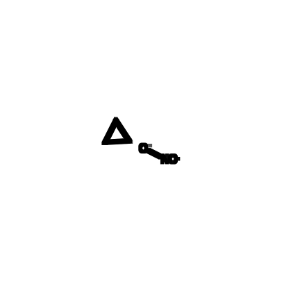 C1CC1.O=[N+][O-]